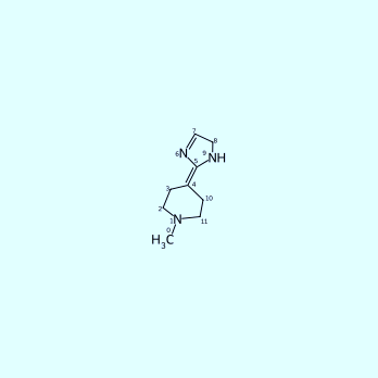 CN1CCC(=C2N=CCN2)CC1